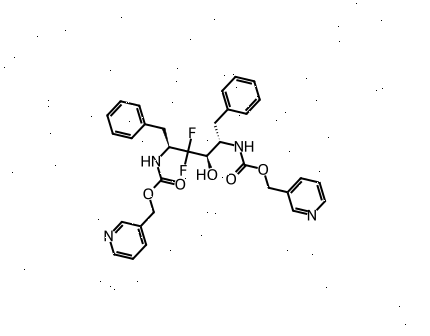 O=C(N[C@@H](Cc1ccccc1)[C@@H](O)C(F)(F)[C@H](Cc1ccccc1)NC(=O)OCc1cccnc1)OCc1cccnc1